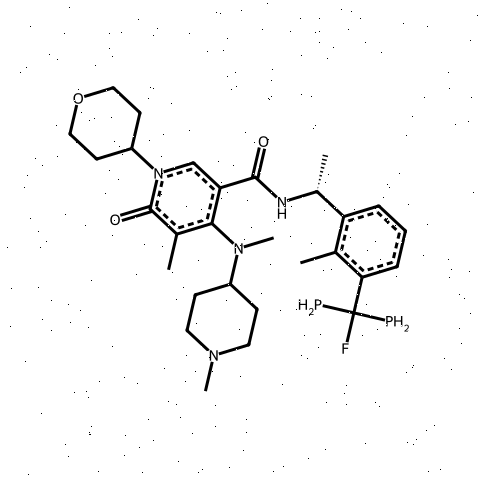 Cc1c([C@@H](C)NC(=O)c2cn(C3CCOCC3)c(=O)c(C)c2N(C)C2CCN(C)CC2)cccc1C(F)(P)P